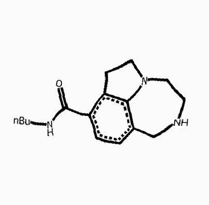 CCCCNC(=O)c1ccc2c3c1CCN3CCNC2